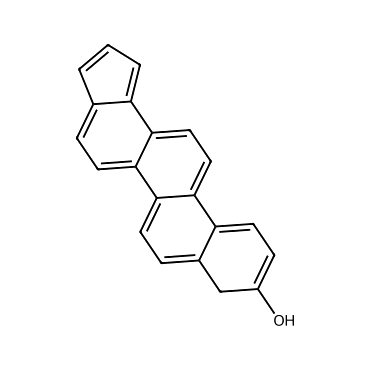 OC1=CC=c2c(ccc3c2ccc2c4c(ccc23)C=CC=4)C1